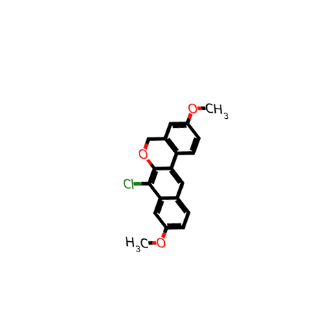 COc1ccc2c(c1)COc1c-2cc2ccc(OC)cc2c1Cl